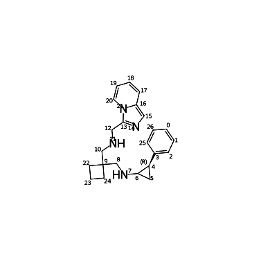 c1ccc([C@H]2CC2NCC2(CNCc3ncc4ccccn34)CCC2)cc1